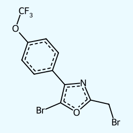 FC(F)(F)Oc1ccc(-c2nc(CBr)oc2Br)cc1